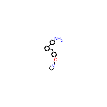 Nc1ccc(-c2ccccc2Cc2ccc(OCCN3CCCC3)cc2)cc1